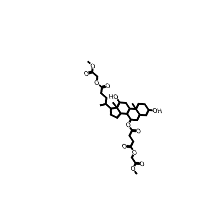 COC(=O)COC(=O)CCC(=O)OC1CC2CC(O)CCC2(C)C2CC(O)C3(C)C(C(C)CCC(=O)OCC(=O)OC)CCC3C12